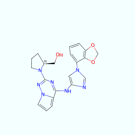 OC[C@@H]1CCCN1c1nc(Nc2cn(-c3cccc4c3OCO4)cn2)c2cccn2n1